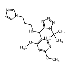 COc1ncc(C(NCCCn2ccnc2)c2nnnn2C(C)(C)C)c(OC)n1